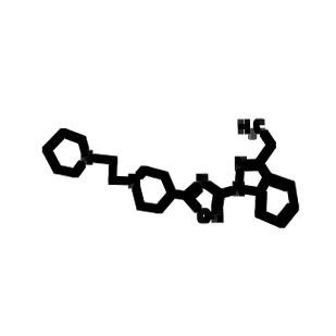 CCc1nn(-c2noc(C3CCN(CCN4CCCCC4)CC3)n2)c2ccccc12